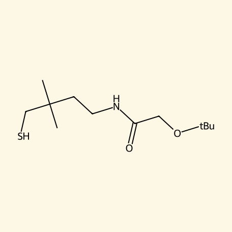 CC(C)(CS)CCNC(=O)COC(C)(C)C